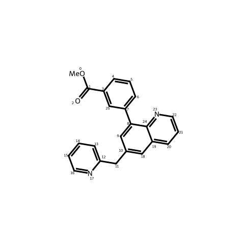 COC(=O)c1cccc(-c2cc(Cc3ccccn3)cc3cccnc23)c1